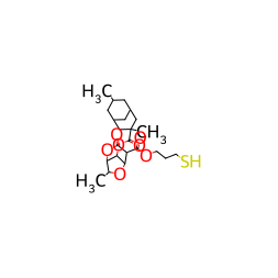 CC1CC2CC(C1)CC(C)(C(=O)OC1C3OC(=O)C(C(=O)OCCCS)C1OC3C)C2